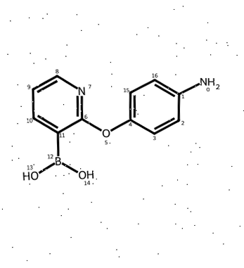 Nc1ccc(Oc2ncccc2B(O)O)cc1